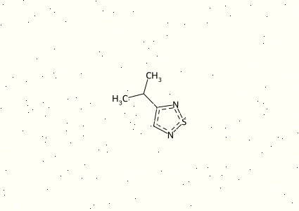 CC(C)c1[c]nsn1